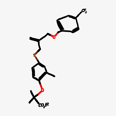 C=C(COc1ccc(C(F)(F)F)cc1)CSc1ccc(OC(C)(C)C(=O)OCC)c(C)c1